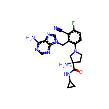 N#Cc1c(F)ccc(N2CC[C@](N)(C(=O)NC3CC3)C2)c1Cn1cnc2c(N)ncnc21